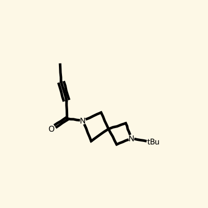 CC#CC(=O)N1CC2(C1)CN(C(C)(C)C)C2